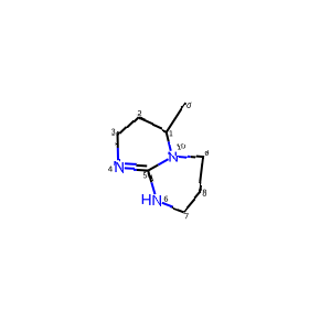 CC1CCN=C2NCCCN21